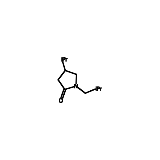 CC(C)CN1CC(C(C)C)CC1=O